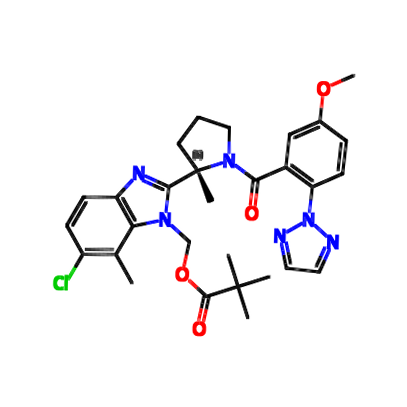 COc1ccc(-n2nccn2)c(C(=O)N2CCC[C@@]2(C)c2nc3ccc(Cl)c(C)c3n2COC(=O)C(C)(C)C)c1